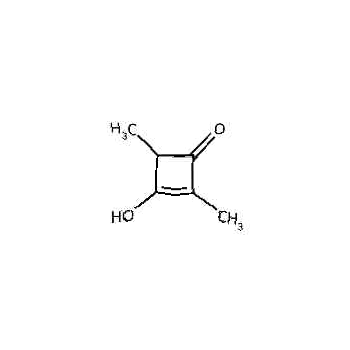 CC1=C(O)C(C)C1=O